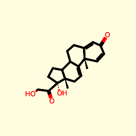 C[C@]12C=CC(=O)C=C1CCC1C2=CC[C@@]2(C)C1CC[C@]2(O)C(=O)CO